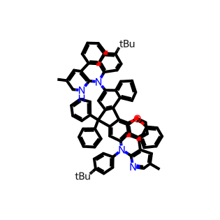 CC1=CC(c2ccccc2)=C(N(c2ccc(C(C)(C)C)cc2)c2cc3c(c4ccccc24)-c2c(cc(N(c4ccc(C(C)(C)C)cc4)c4ncc(C)cc4-c4ccccc4)c4c2oc2ccccc24)C3(c2ccccc2)c2ccccc2)NC1